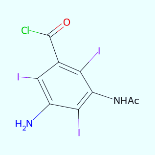 CC(=O)Nc1c(I)c(N)c(I)c(C(=O)Cl)c1I